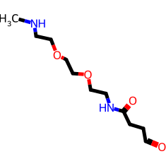 CNCCOCCOCCNC(=O)CCC=O